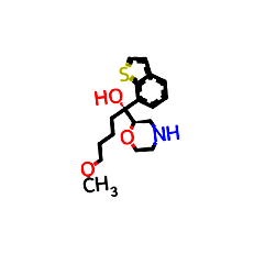 COCCCC[C@@](O)(c1cccc2ccsc12)[C@H]1CNCCO1